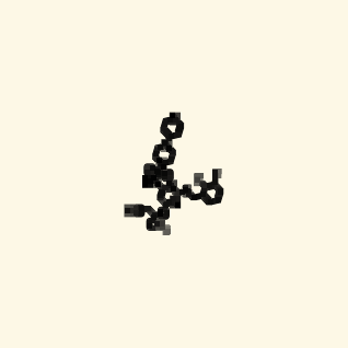 CC(CO)Oc1cc(NS(=O)(=O)N2CCN(c3ccncc3)CC2)nc(SCc2cccc(F)c2F)n1